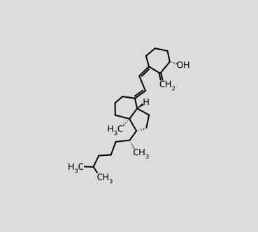 C=C1/C(=C\C=C2/CCC[C@]3(C)[C@@H]([C@H](C)CCCC(C)C)CC[C@@H]23)CCC[C@@H]1O